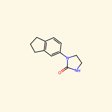 O=C1NCCN1c1ccc2c(c1)CCC2